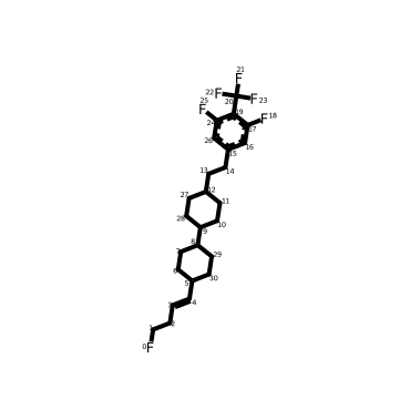 FCCC=CC1CCC(C2CCC(CCc3cc(F)c(C(F)(F)F)c(F)c3)CC2)CC1